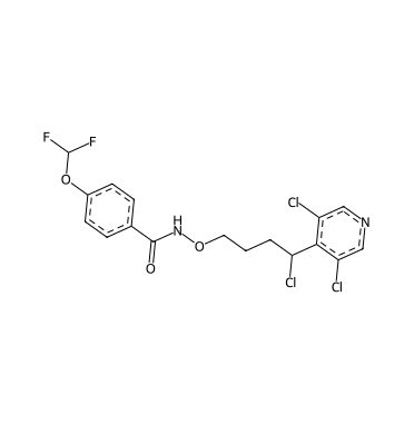 O=C(NOCCCC(Cl)c1c(Cl)cncc1Cl)c1ccc(OC(F)F)cc1